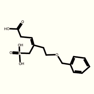 O=C(O)CC=C(CCOCc1ccccc1)CP(=O)(O)O